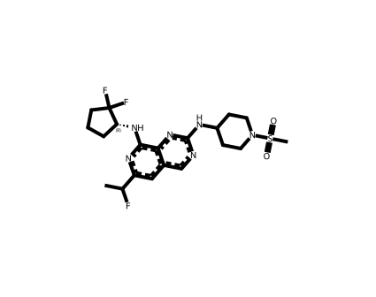 CC(F)c1cc2cnc(NC3CCN(S(C)(=O)=O)CC3)nc2c(N[C@@H]2CCCC2(F)F)n1